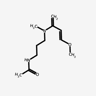 C=C(/C=C/OC)N(C)CCCNC(C)=O